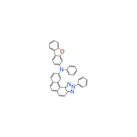 c1ccc(N(c2ccc3c(c2)oc2ccccc23)c2ccc3ccc4ccc5nn(-c6ccccc6)nc5c4c3c2)cc1